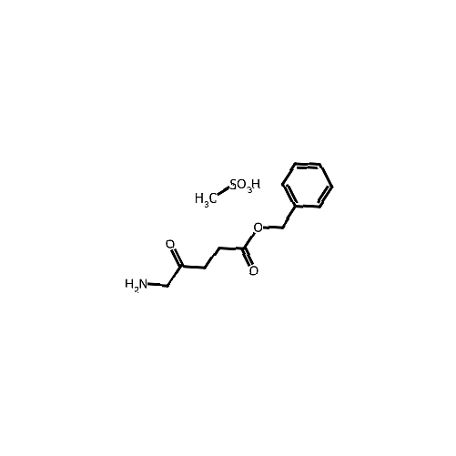 CS(=O)(=O)O.NCC(=O)CCC(=O)OCc1ccccc1